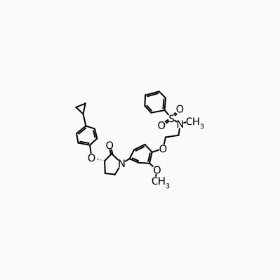 COc1cc(N2CC[C@H](Oc3ccc(C4CC4)cc3)C2=O)ccc1OCCN(C)S(=O)(=O)c1ccccc1